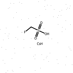 O=S(=O)(O)CF.[CsH]